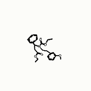 CCOC(=O)CC(c1ccccc1)N(CCc1cccc(OC)c1)C(=O)OCC